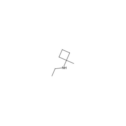 CCNC1(C)CCC1